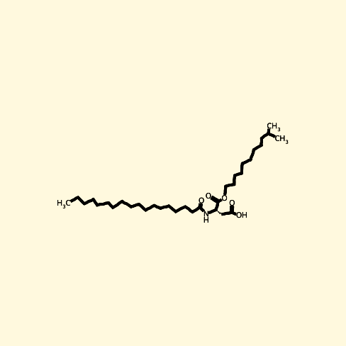 CCCCCCCCCCCCCCCCCC(=O)N[C@@H](CC(=O)O)C(=O)OCCCCCCCCCC(C)C